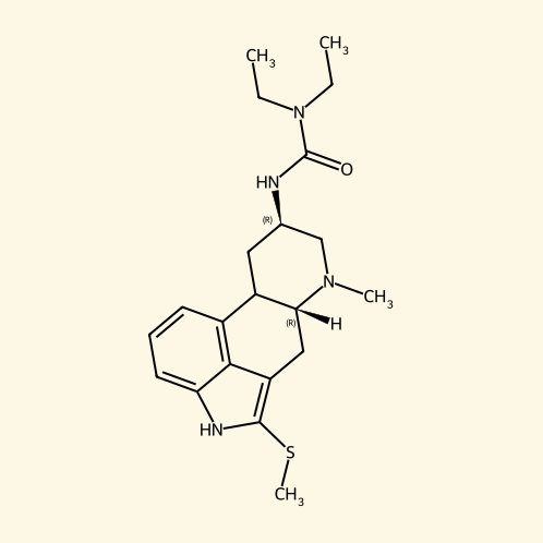 CCN(CC)C(=O)N[C@@H]1CC2c3cccc4[nH]c(SC)c(c34)C[C@H]2N(C)C1